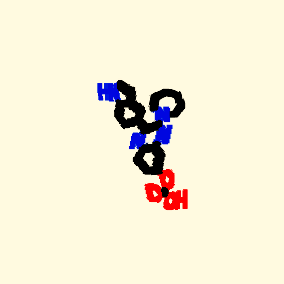 O=C(O)Oc1ccc2nc(-c3ccc4[nH]ccc4c3)c(N3CCCCCC3)nc2c1